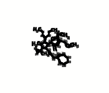 C=CC/C(CCC)=C1/C(=C)N(C2(C)CC2)C(C#CCC2CCCCCC2)C1C(O)N/C=C(\C=C/C)COC